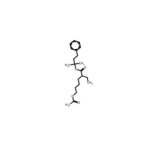 CCC(CCCCOC(C)=O)C(=O)OC(C)(C)CCc1ccccc1